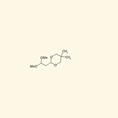 COC(CC1OCC(C)(C)CO1)OC